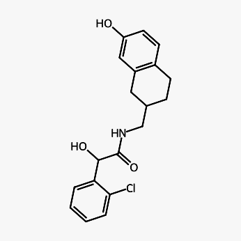 O=C(NCC1CCc2ccc(O)cc2C1)C(O)c1ccccc1Cl